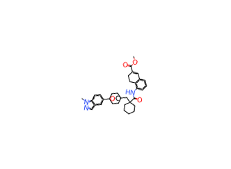 COC(=O)C1=Cc2cccc(NC(=O)C3(CC45CCC(c6ccc7c(cnn7C)c6)(CC4)OC5)CCCCC3)c2CC1